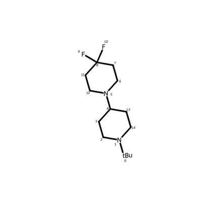 CC(C)(C)N1CCC(N2CCC(F)(F)CC2)CC1